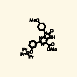 COC(=O)c1nc(-c2cccc(O[Si](C(C)C)(C(C)C)C(C)C)c2)nc2c1[nH]c(=O)n2C1CCC(OC)CC1